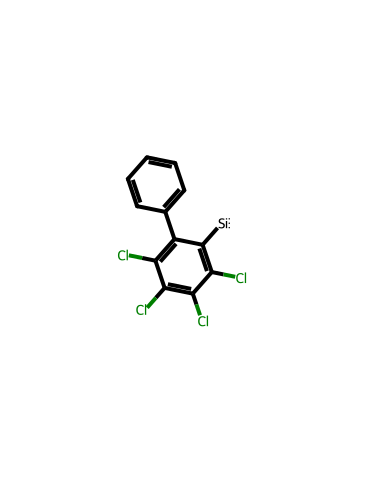 [Si]c1c(Cl)c(Cl)c(Cl)c(Cl)c1-c1ccccc1